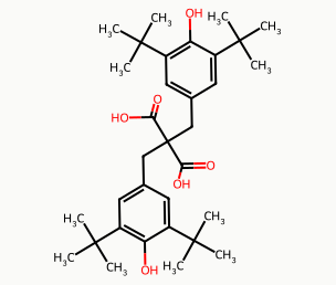 CC(C)(C)c1cc(CC(Cc2cc(C(C)(C)C)c(O)c(C(C)(C)C)c2)(C(=O)O)C(=O)O)cc(C(C)(C)C)c1O